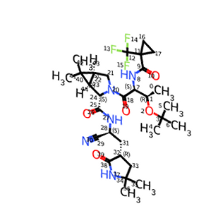 C[C@@H](OC(C)(C)C)[C@H](NC(=O)C1(C(F)(F)F)CC1)C(=O)N1C[C@H]2[C@@H]([C@H]1C(=O)N[C@H](C#N)C[C@@H]1CC(C)(C)NC1=O)C2(C)C